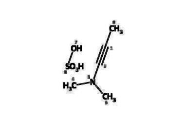 CC#CN(C)C.O=S(=O)(O)O